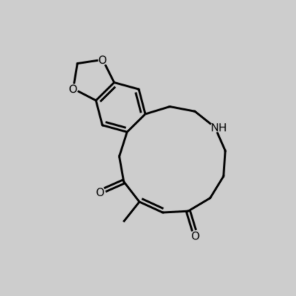 C/C1=C/C(=O)CCCNCCc2cc3c(cc2CC1=O)OCO3